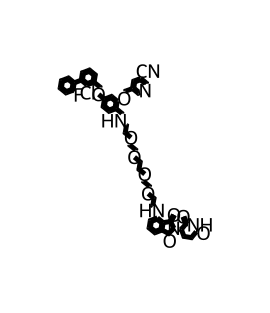 N#Cc1cncc(COc2cc(OCc3cccc(-c4ccccc4F)c3Cl)ccc2CNCCOCCOCCOCCOCCNc2cccc3c2C(=O)N(C2CCC(=O)NC2=O)C3=O)c1